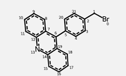 BrCc1ccc(-c2c3ccccc3nc3ccccc23)cc1